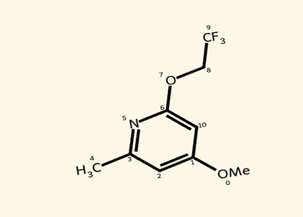 COc1cc(C)nc(OCC(F)(F)F)c1